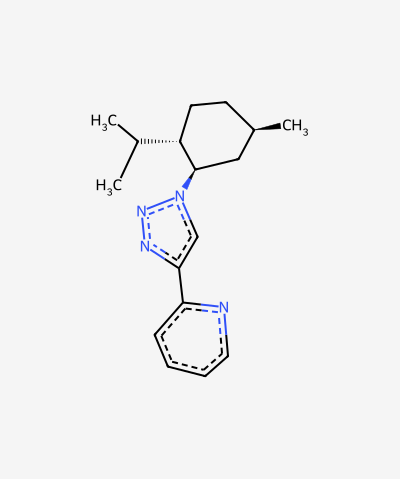 CC(C)[C@@H]1CC[C@@H](C)C[C@H]1n1cc(-c2ccccn2)nn1